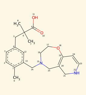 Cc1ccc(CC(C)(C)C(=O)O)cc1CN1CCOC2=C(CNC=C2)C1